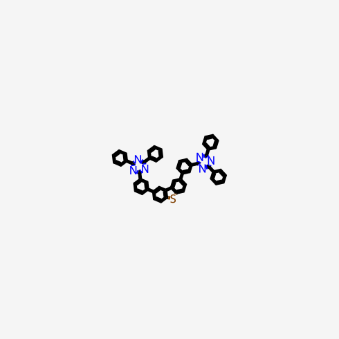 c1ccc(-c2nc(-c3ccccc3)nc(-c3cccc(-c4ccc5sc6ccc(-c7cccc(-c8nc(-c9ccccc9)nc(-c9ccccc9)n8)c7)cc6c5c4)c3)n2)cc1